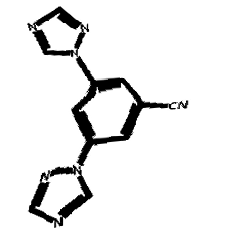 N#Cc1cc(-n2cncn2)cc(-n2cncn2)c1